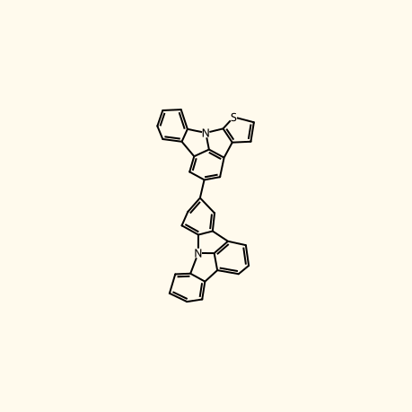 c1ccc2c(c1)c1cccc3c4cc(-c5cc6c7ccccc7n7c8sccc8c(c5)c67)ccc4n2c13